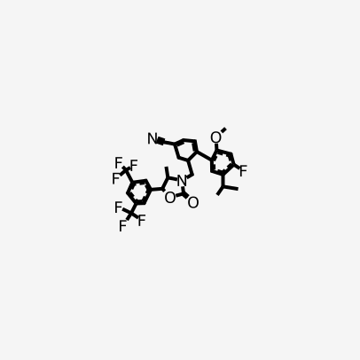 COc1cc(F)c(C(C)C)cc1C1=CC=C(C#N)CC1CN1C(=O)OC(c2cc(C(F)(F)F)cc(C(F)(F)F)c2)C1C